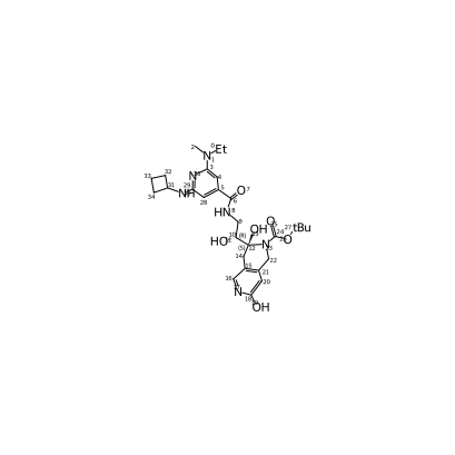 CCN(C)c1cc(C(=O)NC[C@@H](O)[C@@]2(O)Cc3cnc(O)cc3CN2C(=O)OC(C)(C)C)cc(NC2CCC2)n1